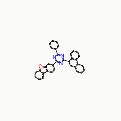 c1ccc(-c2nc(-c3ccc4c(c3)oc3ccccc34)nc(-c3cc4ccccc4c4ccccc34)n2)cc1